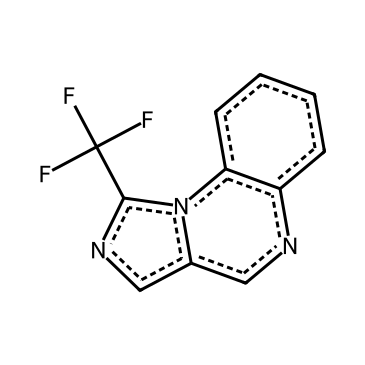 FC(F)(F)c1ncc2cnc3ccccc3n12